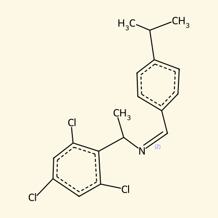 CC(C)c1ccc(/C=N\C(C)c2c(Cl)cc(Cl)cc2Cl)cc1